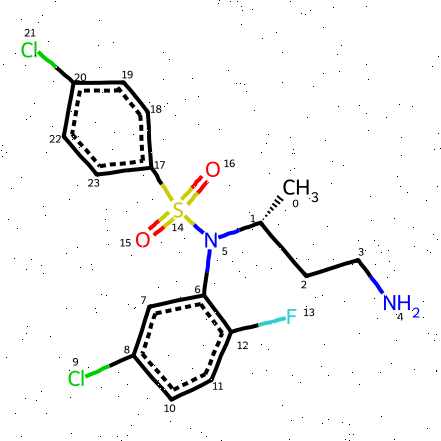 C[C@H](CCN)N(c1cc(Cl)ccc1F)S(=O)(=O)c1ccc(Cl)cc1